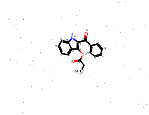 CCC(=O)Oc1c(C(=O)c2ccccc2)[nH]c2ccccc12